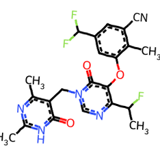 Cc1nc(C)c(Cn2cnc(C(C)F)c(Oc3cc(C(F)F)cc(C#N)c3C)c2=O)c(=O)[nH]1